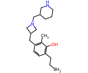 BCCc1ccc(CC2CN(CC3CCCNC3)C2)c(C)c1O